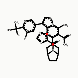 CC(=O)c1c(C2CC3CCC(C2)N3C(=O)c2ncn[nH]2)nc2c(-c3cnc(C(C)(C)O)c(F)c3)cnn2c1N